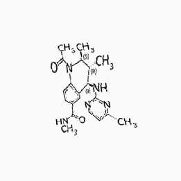 CNC(=O)c1ccc2c(c1)[C@H](Nc1nccc(C)n1)[C@@H](C)[C@H](C)N2C(C)=O